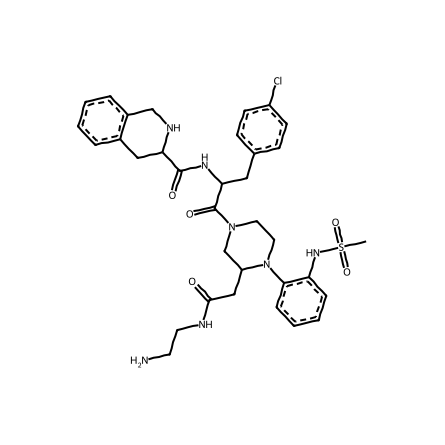 CS(=O)(=O)Nc1ccccc1N1CCN(C(=O)C(Cc2ccc(Cl)cc2)NC(=O)C2Cc3ccccc3CN2)CC1CC(=O)NCCN